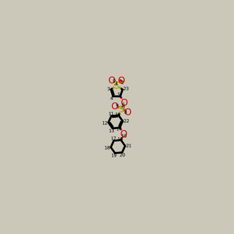 O=S1(=O)C=CC(OS(=O)(=O)c2cccc(OC3CCCCC3)c2)C1